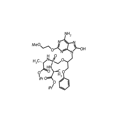 COCCOc1nc(N)c2nc(O)n(CC(COc3ccccc3)OCP(=O)(N[C@@H](C)C(=O)OC(C)C)N[C@@H](C)C(=O)OC(C)C)c2n1